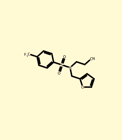 N#CCCN(Cc1ccco1)S(=O)(=O)c1ccc(C(F)(F)F)cc1